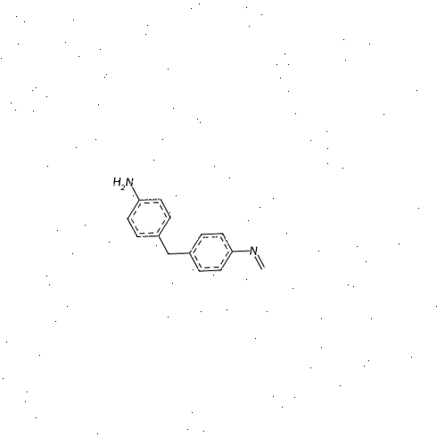 C=Nc1ccc(Cc2ccc(N)cc2)cc1